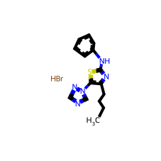 Br.CCCCc1nc(Nc2ccccc2)sc1-n1cncn1